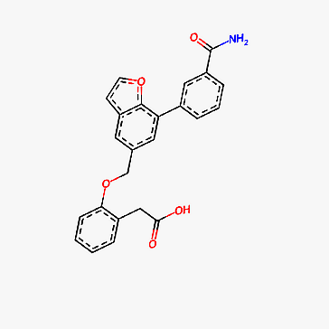 NC(=O)c1cccc(-c2cc(COc3ccccc3CC(=O)O)cc3ccoc23)c1